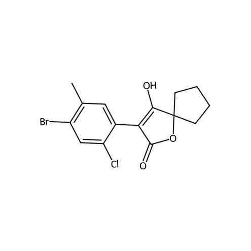 Cc1cc(C2=C(O)C3(CCCC3)OC2=O)c(Cl)cc1Br